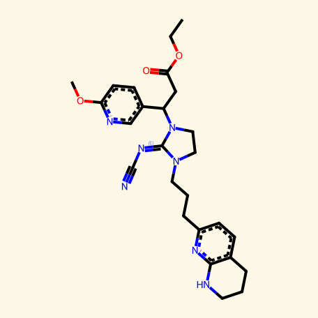 CCOC(=O)CC(c1ccc(OC)nc1)N1CCN(CCCc2ccc3c(n2)NCCC3)/C1=N\C#N